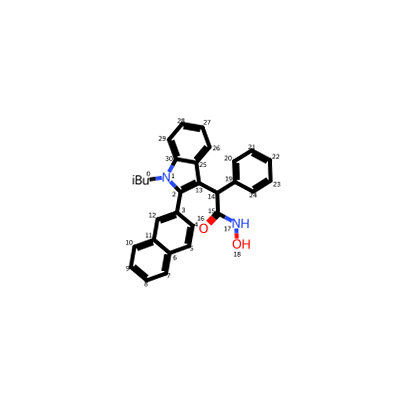 CCC(C)n1c(-c2ccc3ccccc3c2)c(C(C(=O)NO)c2ccccc2)c2ccccc21